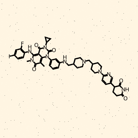 Cc1c(=O)n(C)c(Nc2ccc(I)cc2F)c2c(=O)n(C3CC3)c(=O)n(-c3cccc(NCC4CCN(CC5CCN(c6ccc(C7CCC(=O)NC7=O)cn6)CC5)CC4)c3)c12